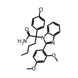 CCCCC(C(N)=O)(c1ccc(Cl)cc1)n1c(-c2ccc(OC)cc2OC)nc2ccccc21